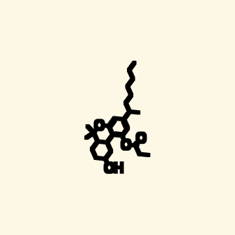 CCCCCCC(C)c1cc(OC(=O)CC)c2c(c1)OC(C)(C)C1CCC(O)CC21